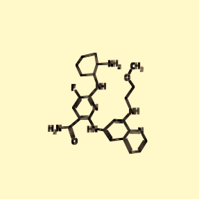 COCCNc1cc(Nc2nc(NC3CCCCC3N)c(F)cc2C(N)=O)cc2cccnc12